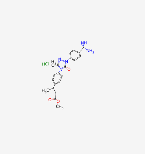 COC(=O)CC(C)c1ccc(-n2c(C)nn(-c3ccc(C(=N)N)cc3)c2=O)cc1.Cl